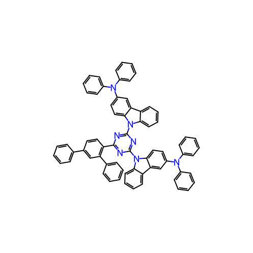 c1ccc(-c2ccc(-c3nc(-n4c5ccccc5c5cc(N(c6ccccc6)c6ccccc6)ccc54)nc(-n4c5ccccc5c5cc(N(c6ccccc6)c6ccccc6)ccc54)n3)c(-c3ccccc3)c2)cc1